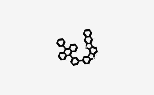 c1ccc(-c2c3ccccc3c(-c3cccc(-c4ccc5sc6ccc7c8cc9ccccc9cc8sc7c6c5c4)c3)c3ccccc23)cc1